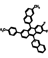 Cc1ccc(-c2ccc3c([C@H]4C=c5ccccc5=CC4)c4cc(F)c(F)cc4c(-c4ccc5ccc(C)cc5c4)c3c2)cc1